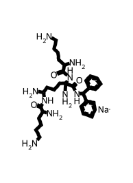 NCCCCC(N)C(=O)NC(N)CCCC(N)(NC(=O)C(N)CCCCN)C(=O)NC(c1ccccc1)c1ccccc1.[Na]